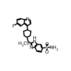 C[C@@H](c1nc2ccc(S(N)(=O)=O)cc2[nH]1)C1CCC(c2ccnc3ccc(F)cc23)CC1